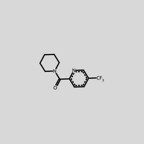 O=C(c1ccc(C(F)(F)F)cn1)N1CCCCC1